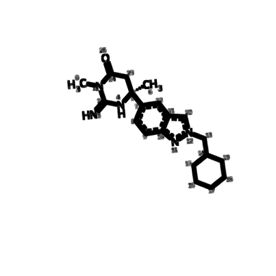 CN1C(=N)N[C@](C)(c2ccc3nn(CC4CCCCC4)cc3c2)CC1=O